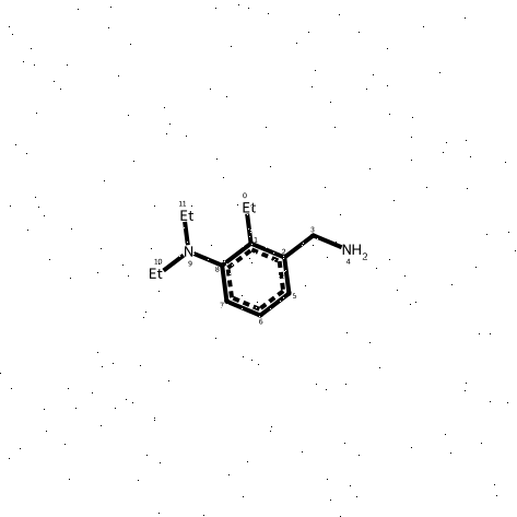 [CH2]Cc1c(CN)cccc1N(CC)CC